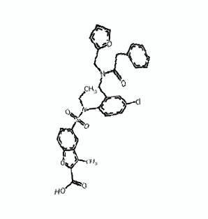 CCN(c1ccc(Cl)cc1CN(Cc1ccco1)C(=O)Cc1ccccc1)S(=O)(=O)c1ccc2oc(C(=O)O)c(C)c2c1